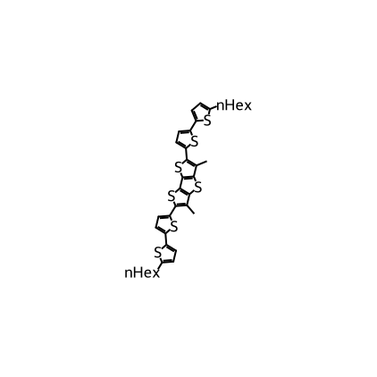 CCCCCCc1ccc(-c2ccc(-c3sc4c(sc5c(C)c(-c6ccc(-c7ccc(CCCCCC)s7)s6)sc54)c3C)s2)s1